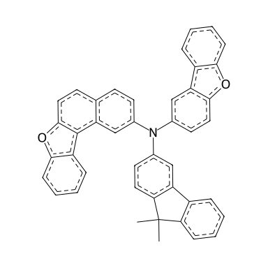 CC1(C)c2ccccc2-c2cc(N(c3ccc4oc5ccccc5c4c3)c3ccc4ccc5oc6ccccc6c5c4c3)ccc21